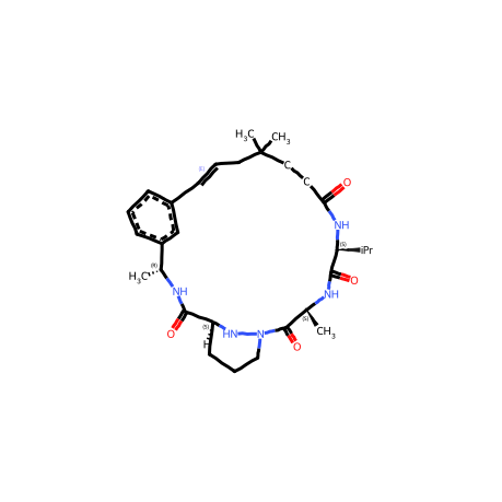 CC(C)[C@@H]1NC(=O)CCC(C)(C)C/C=C/c2cccc(c2)[C@@H](C)NC(=O)[C@@H]2CCCN(N2)C(=O)[C@H](C)NC1=O